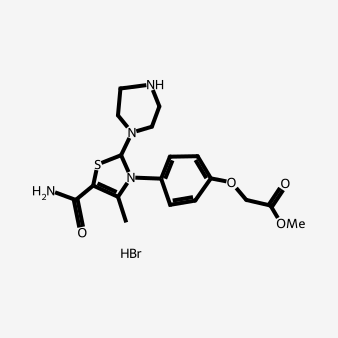 Br.COC(=O)COc1ccc(N2C(C)=C(C(N)=O)SC2N2CCNCC2)cc1